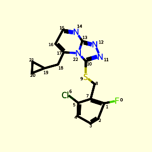 Fc1cccc(Cl)c1CSc1nnc2nccc(CC3CC3)n12